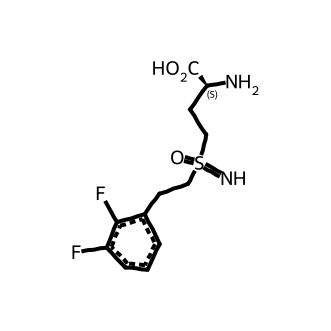 N=S(=O)(CCc1cccc(F)c1F)CC[C@H](N)C(=O)O